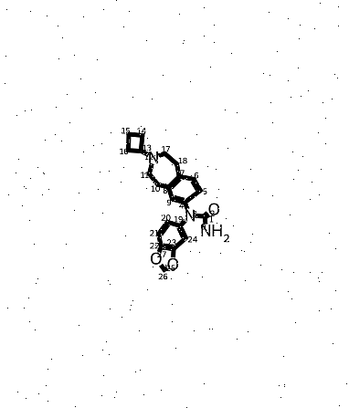 NC(=O)N(c1ccc2c(c1)CCN(C1CCC1)CC2)c1ccc2c(c1)OCO2